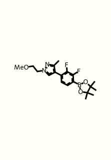 COCCn1cc(-c2ccc(B3OC(C)(C)C(C)(C)O3)c(F)c2F)c(C)n1